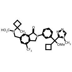 COC(c1cccc(N2Cc3c(cc(CN(C(=O)O)C4(C)CCC4)cc3C(F)(F)F)C2=O)c1)(c1nncn1C)C1CCC1